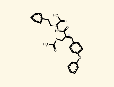 CC(=O)SC/C(=C\c1ccc(Oc2ccccc2)cc1)C(=O)N[C@@H](CCc1ccccc1)C(=O)O